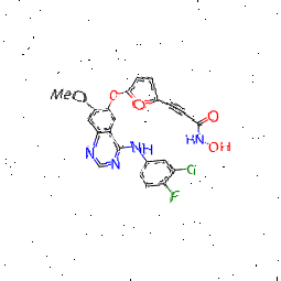 COc1cc2ncnc(Nc3ccc(F)c(Cl)c3)c2cc1Oc1ccc(C#CC(=O)NO)o1